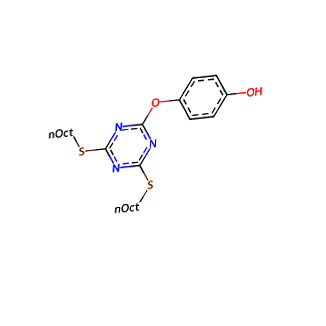 CCCCCCCCSc1nc(Oc2ccc(O)cc2)nc(SCCCCCCCC)n1